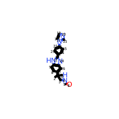 CC(C)(CNC=O)c1ccc2[nH]c(-c3ccc(-n4ccnc4)cc3)nc2c1